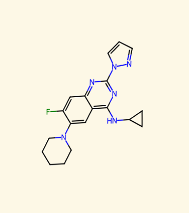 Fc1cc2nc(-n3cccn3)nc(NC3CC3)c2cc1N1CCCCC1